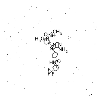 CCNC(=O)N1C[C@H](c2nc(-c3ccc(C(=O)Nc4cc(C(F)(F)F)ccn4)cc3)c3c(N)nccn23)CC[C@@H]1C